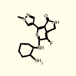 Cn1cc(-c2nc(NC3CCCCC3N)c(F)c3c2C(=O)NC3)cn1